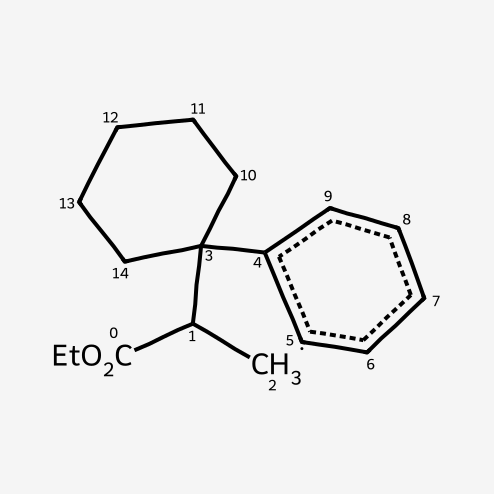 CCOC(=O)C(C)C1(c2[c]cccc2)CCCCC1